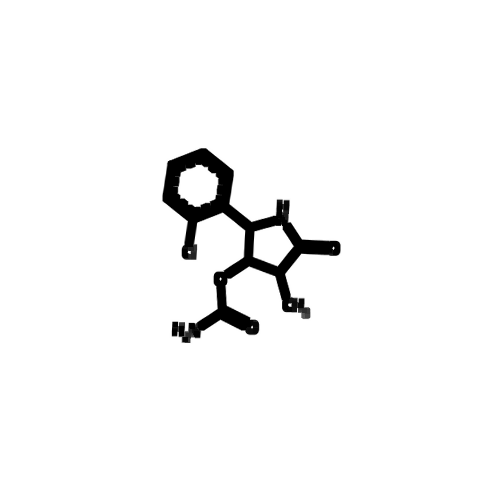 CC1C(=O)NC(c2ccccc2Cl)C1OC(N)=O